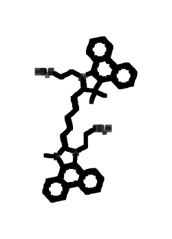 CN1/C(=C/C=C/C=C/C2=[N+](CCC(=O)O)c3c(c4ccccc4c4ccccc34)C2(C)C)N(CCC(=O)O)c2c1c1ccccc1c1ccccc21